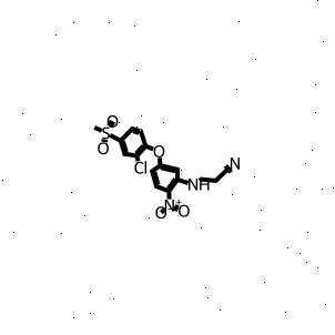 CS(=O)(=O)c1ccc(Oc2ccc([N+](=O)[O-])c(NCCC#N)c2)c(Cl)c1